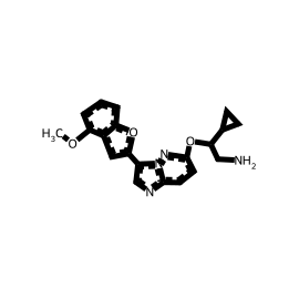 COc1cccc2oc(-c3cnc4ccc(OC(CN)C5CC5)nn34)cc12